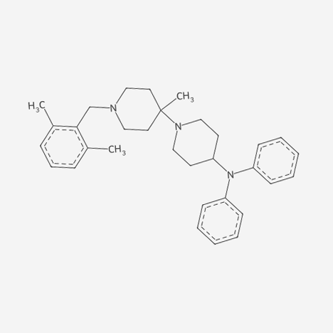 Cc1cccc(C)c1CN1CCC(C)(N2CCC(N(c3ccccc3)c3ccccc3)CC2)CC1